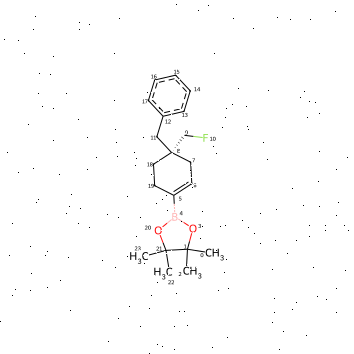 CC1(C)OB(C2=CC[C@](CF)(Cc3ccccc3)CC2)OC1(C)C